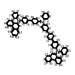 c1ccc(N(c2ccc(-c3ccc(-c4ccc(N(c5ccccc5)c5cc6ccccc6c6ccccc56)cc4)cc3)cc2)c2ccc(-c3ccc(N(c4ccccc4)c4cc5ccccc5c5ccccc45)cc3)cc2)cc1